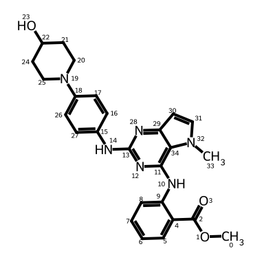 COC(=O)c1ccccc1Nc1nc(Nc2ccc(N3CCC(O)CC3)cc2)nc2ccn(C)c12